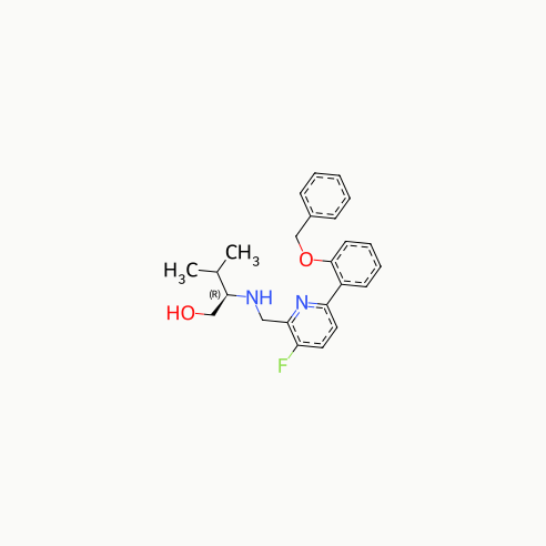 CC(C)[C@H](CO)NCc1nc(-c2ccccc2OCc2ccccc2)ccc1F